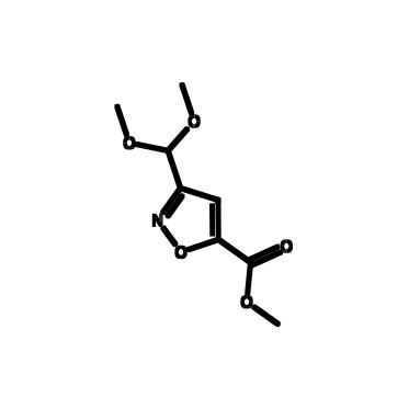 COC(=O)c1cc(C(OC)OC)no1